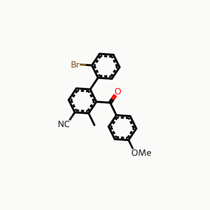 COc1ccc(C(=O)c2c(-c3ccccc3Br)ccc(C#N)c2C)cc1